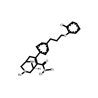 CCN(CC)C(=O)C1=C(c2ccc(CCCOc3ccccc3Cl)cc2)CC2CN(C(C)=O)C[C@H]1N2